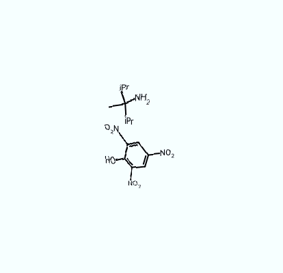 CC(C)C(C)(N)C(C)C.O=[N+]([O-])c1cc([N+](=O)[O-])c(O)c([N+](=O)[O-])c1